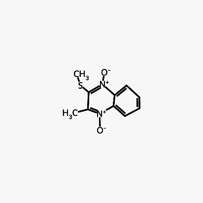 CSc1c(C)[n+]([O-])c2ccccc2[n+]1[O-]